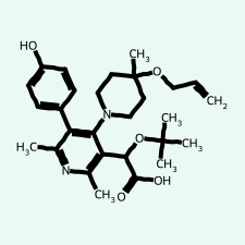 C=CCOC1(C)CCN(c2c(-c3ccc(O)cc3)c(C)nc(C)c2C(OC(C)(C)C)C(=O)O)CC1